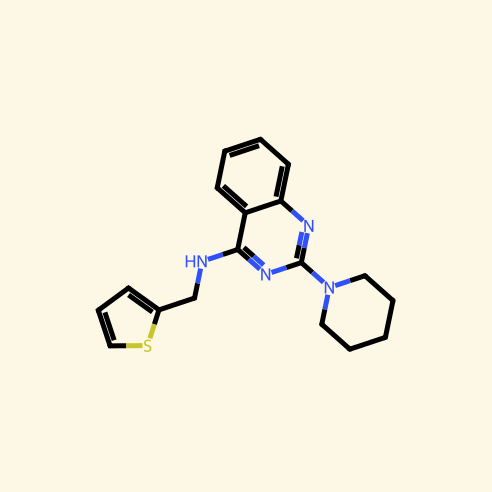 c1csc(CNc2nc(N3CCCCC3)nc3ccccc23)c1